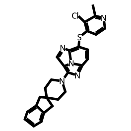 Cc1nccc(Sc2ccc3nc(N4CCC5(CC4)Cc4ccccc4C5)c4cnc2n34)c1Cl